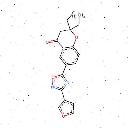 CCC1(CC)CC(=O)c2cc(-c3nc(-c4ccoc4)no3)ccc2O1